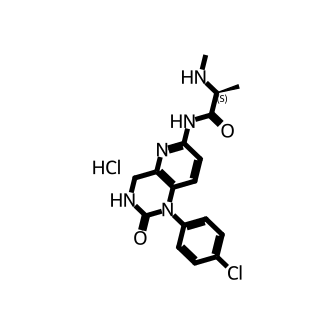 CN[C@@H](C)C(=O)Nc1ccc2c(n1)CNC(=O)N2c1ccc(Cl)cc1.Cl